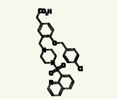 O=C(O)Cc1ccc(OCc2ccc(Cl)cc2)c(CN2CCN(S(=O)(=O)c3cccc4cccnc34)CC2)c1